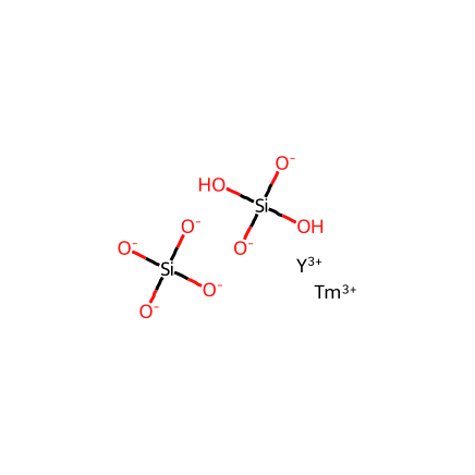 [O-][Si]([O-])(O)O.[O-][Si]([O-])([O-])[O-].[Tm+3].[Y+3]